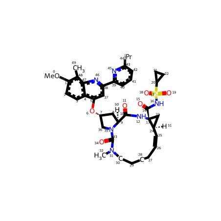 COc1ccc2c(O[C@@H]3C[C@H]4C(=O)N[C@]5(C(=O)NS(=O)(=O)C6CC6)C[C@H]5/C=C\CCCCN(C)C(=O)N4C3)cc(-c3cccc(C(C)C)n3)nc2c1C